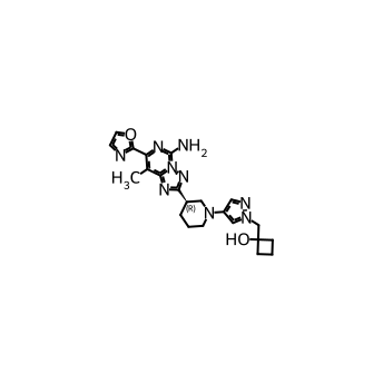 Cc1c(-c2ncco2)nc(N)n2nc([C@@H]3CCCN(c4cnn(CC5(O)CCC5)c4)C3)nc12